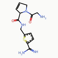 N=C(N)c1ccc(CNC(=O)C2C=CCN2C(=O)CN)s1